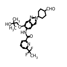 CC(C)(O)COc1cc2nn(C3CCC(C=O)CC3)cc2cc1NC(=O)c1cccc(C(C)(F)F)n1